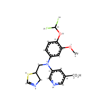 CC(C)Oc1cc(N(CC2CN=CS2)c2cncc(C(=O)O)c2)ccc1OC(F)F